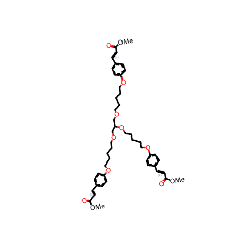 COC(=O)/C=C/c1ccc(OCCCCCOCC(COCCCCCOc2ccc(/C=C/C(=O)OC)cc2)OCCCCCOc2ccc(/C=C/C(=O)OC)cc2)cc1